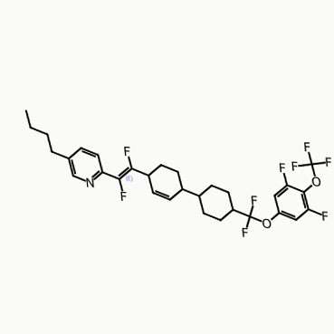 CCCCc1ccc(/C(F)=C(\F)C2C=CC(C3CCC(C(F)(F)Oc4cc(F)c(OC(F)(F)F)c(F)c4)CC3)CC2)nc1